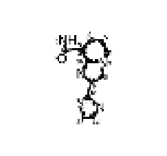 NC(=O)c1[c]ccn2cc(-c3nccs3)nc12